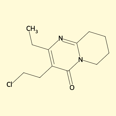 CCc1nc2n(c(=O)c1CCCl)CCCC2